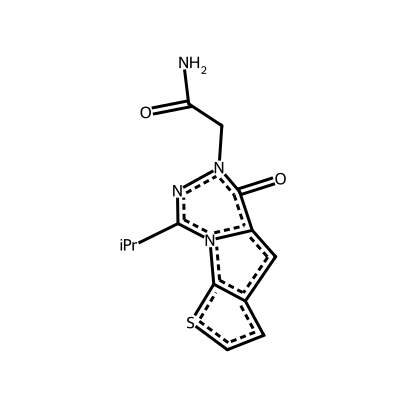 CC(C)c1nn(CC(N)=O)c(=O)c2cc3ccsc3n12